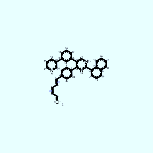 C=C/C=C\C=C\c1ccc(-c2nc(-c3cccc4ccccc34)ncc2-c2cccc(-c3cccnc3)c2)cc1